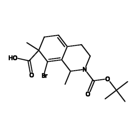 CC1C2=C(Br)C(C)(C(=O)O)CC=C2CCN1C(=O)OC(C)(C)C